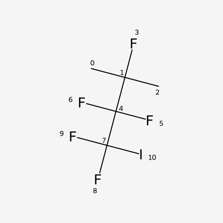 CC(C)(F)C(F)(F)C(F)(F)I